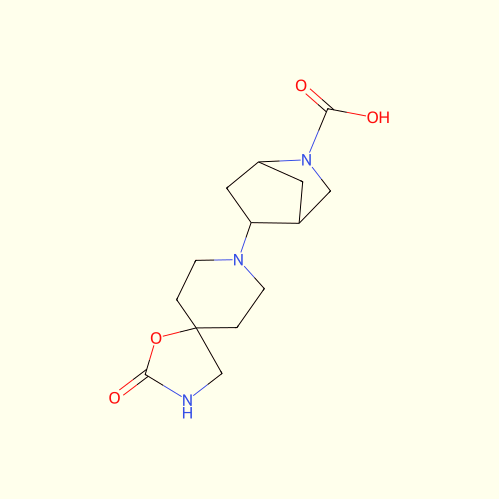 O=C1NCC2(CCN(C3CC4CC3CN4C(=O)O)CC2)O1